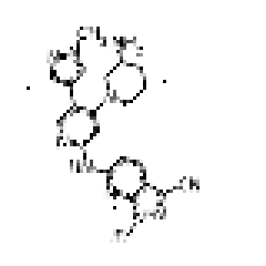 CC(C)n1nc(C#N)c2ccc(Nc3cc(N4CCC[C@H](N)C4)c(-c4cnn(C)c4)cn3)nc21